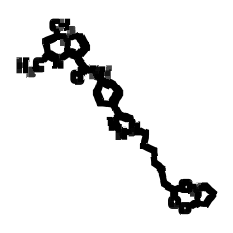 Cc1cc(C)n2ccc(C(=O)Nc3ccc(-c4cn(CCCCCCC(=O)ON5CCCC5=O)nn4)cc3)c2n1